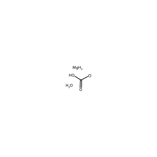 O.O=C(O)Cl.[MgH2]